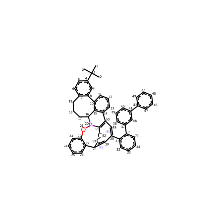 CC(C)(C)c1ccc2c(c1)-c1cccc3c1C(CCC2)P1Oc2ccccc2/C2=C/C(c4ccccc4-c4cccc(-c5ccccc5)c4)=C\C3=C1CC2